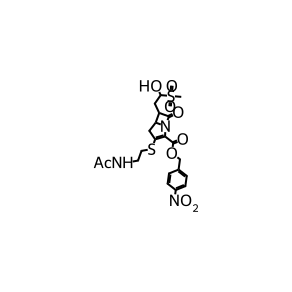 CC(=O)NCCSC1=C(C(=O)OCc2ccc([N+](=O)[O-])cc2)N2C(=O)C(CC(O)S(C)(=O)=O)C2C1